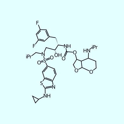 CC(C)CN(C[C@@H](O)[C@H](Cc1cc(F)cc(F)c1)NC(=O)OC1COC2OCCC(NC(C)C)C12)S(=O)(=O)c1ccc2nc(NC3CC3)sc2c1